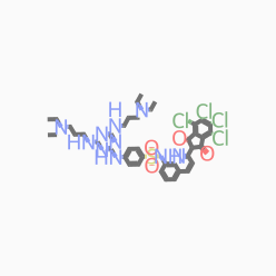 CCN(CC)CCCNc1nc(NCCCN(CC)CC)nc(Nc2ccc(S(=O)(=O)Nc3cccc4ccc(C5C(=O)c6c(Cl)c(Cl)c(Cl)c(Cl)c6C5=O)nc34)cc2)n1